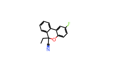 CCC1(C#N)Oc2ccc(F)cc2-c2ccccc21